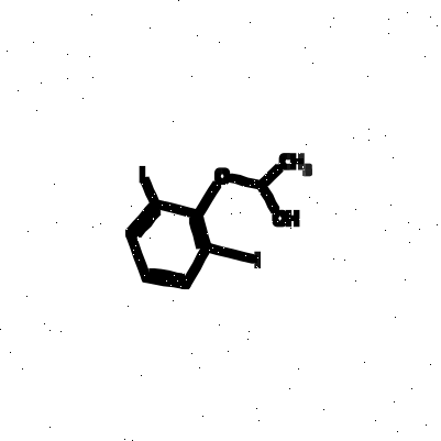 CC(O)Oc1c(I)cccc1I